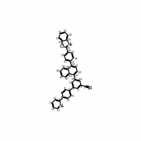 N#Cc1cc(-c2ccc(-c3ccccn3)cc2)cc(-c2ccc(-c3ccc(-c4nc5ccccc5o4)cc3)c3ccccc23)c1